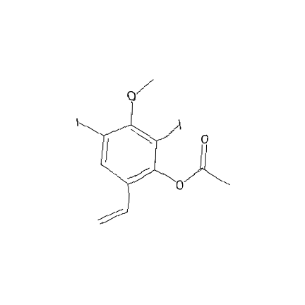 C=Cc1cc(I)c(OC)c(I)c1OC(C)=O